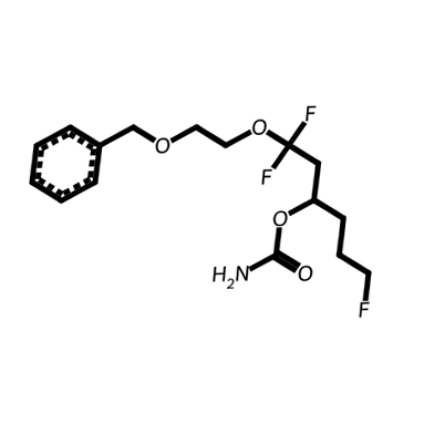 NC(=O)OC(CCCF)CC(F)(F)OCCOCc1ccccc1